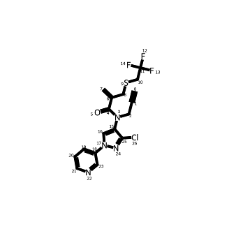 C#CCN(C(=O)C(=C)CSCC(F)(F)F)c1cn(-c2cccnc2)nc1Cl